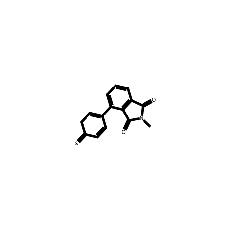 CN1C(=O)c2cccc(C3=CCC(=S)C=C3)c2C1=O